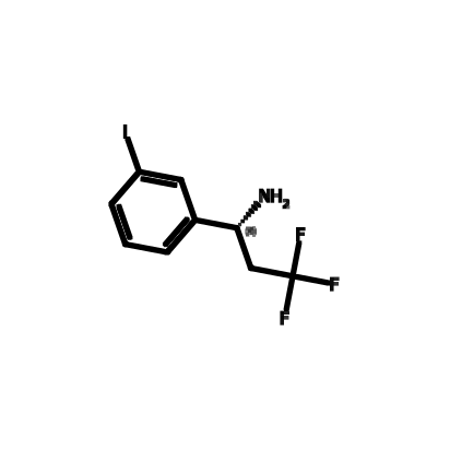 N[C@H](CC(F)(F)F)c1cccc(I)c1